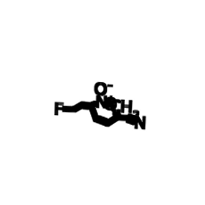 C=C(C#N)/C=C\C(=C/CF)[N+](=O)[O-]